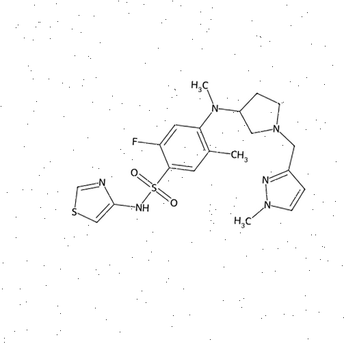 Cc1cc(S(=O)(=O)Nc2cscn2)c(F)cc1N(C)C1CCN(Cc2ccn(C)n2)C1